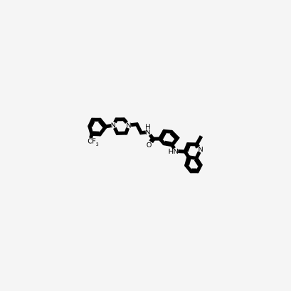 Cc1cc(Nc2cccc(C(=O)NCCN3CCN(c4cccc(C(F)(F)F)c4)CC3)c2)c2ccccc2n1